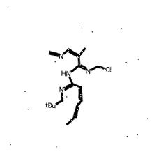 C=N/C=C(C)\C(=N/CCl)NC(/C=C\C=C\C)=N/CC(C)(C)C